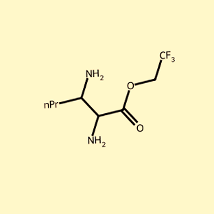 CCCC(N)C(N)C(=O)OCC(F)(F)F